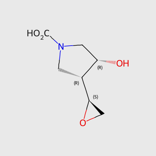 O=C(O)N1C[C@@H]([C@H]2CO2)[C@@H](O)C1